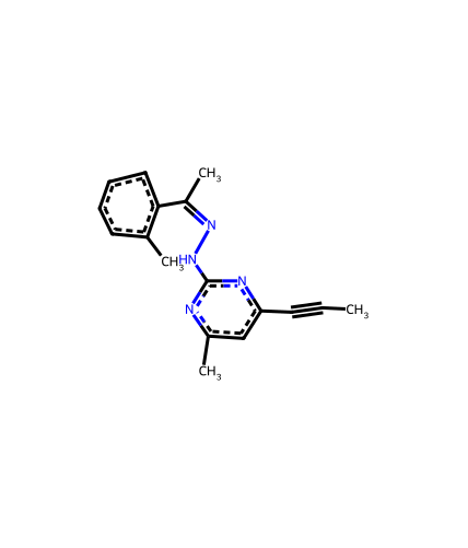 CC#Cc1cc(C)nc(NN=C(C)c2ccccc2C)n1